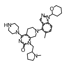 Cc1ccc2c(cnn2C2CCCCO2)c1N1CCc2c(N3CCNCC3)nc(=O)n(CC3CCCN3C)c2C1